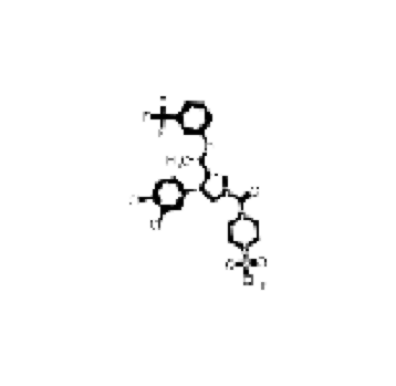 C[C@H](Oc1cccc(C(F)(F)F)c1)[C@@H]1CN(C(=O)N2CCN(S(C)(=O)=O)CC2)C[C@H]1c1ccc(Cl)c(Cl)c1